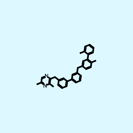 Cc1cnc(Cc2cccc(-c3cccc(Cc4ccc(C)c(-c5ccccc5C)c4)c3)c2)c(C)n1